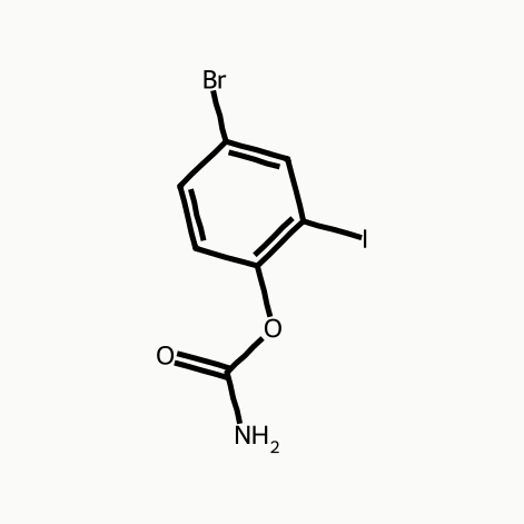 NC(=O)Oc1ccc(Br)cc1I